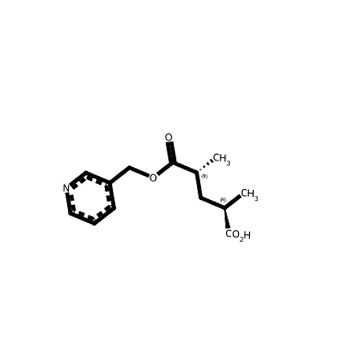 C[C@H](C[C@@H](C)C(=O)OCc1cccnc1)C(=O)O